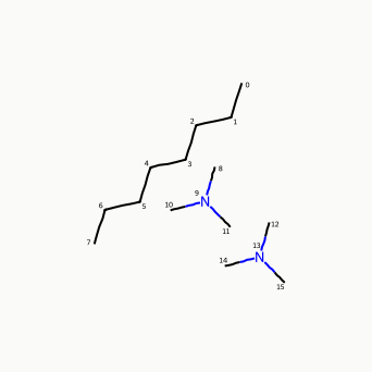 CCCCCCCC.CN(C)C.CN(C)C